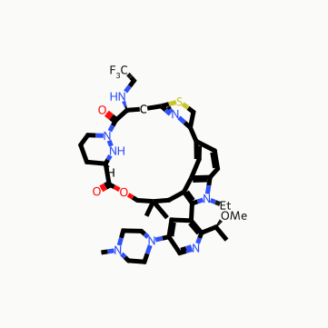 CCn1c(-c2cc(N3CCN(C)CC3)cnc2[C@H](C)OC)c2c3cc(ccc31)C1CSC(=N1)C[C@H](NCC(F)(F)F)C(=O)N1CCC[C@H](N1)C(=O)OCC(C)(C)C2